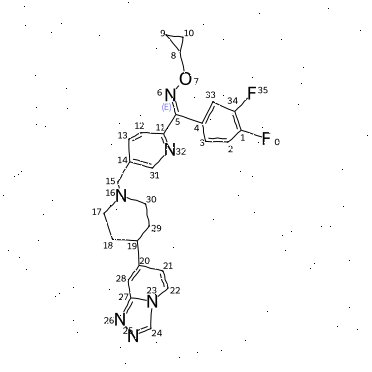 Fc1ccc(/C(=N\OC2CC2)c2ccc(CN3CCC(c4ccn5cnnc5c4)CC3)cn2)cc1F